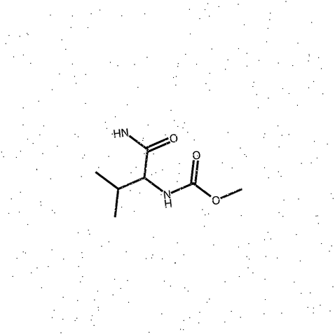 COC(=O)NC(C([NH])=O)C(C)C